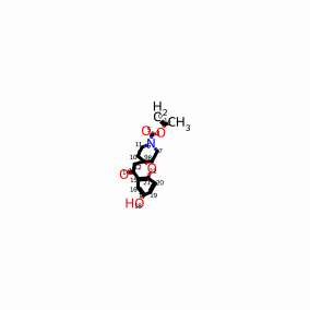 C=C(C)OC(=O)N1CCC2(CC1)CC(=O)c1cc(O)ccc1O2